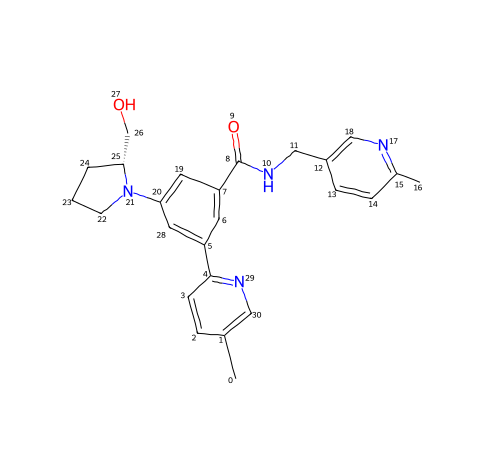 Cc1ccc(-c2cc(C(=O)NCc3ccc(C)nc3)cc(N3CCC[C@@H]3CO)c2)nc1